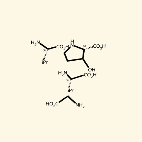 CC(C)[C@H](N)C(=O)O.CC(C)[C@H](N)C(=O)O.NCC(=O)O.O=C(O)[C@H]1NCCC1O